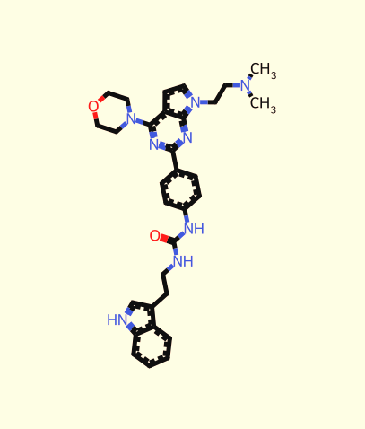 CN(C)CCn1ccc2c(N3CCOCC3)nc(-c3ccc(NC(=O)NCCc4c[nH]c5ccccc45)cc3)nc21